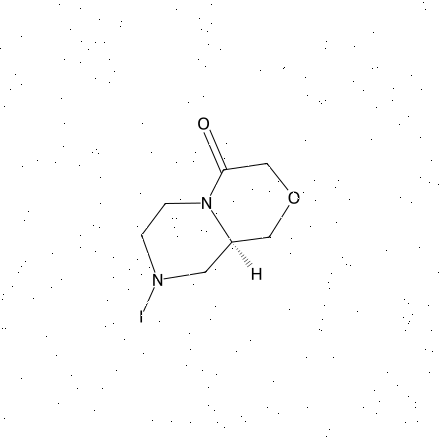 O=C1COC[C@H]2CN(I)CCN12